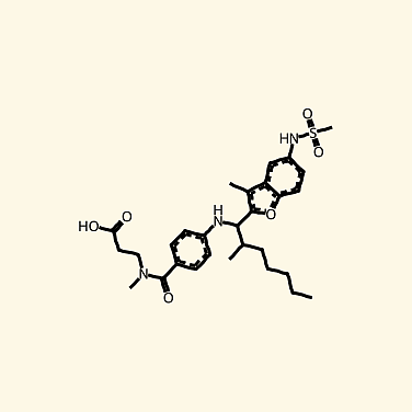 CCCCCC(C)C(Nc1ccc(C(=O)N(C)CCC(=O)O)cc1)c1oc2ccc(NS(C)(=O)=O)cc2c1C